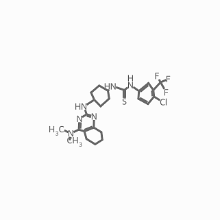 CN(C)c1nc(NC2CCC(NC(=S)Nc3ccc(Cl)c(C(F)(F)F)c3)CC2)nc2c1CCCC2